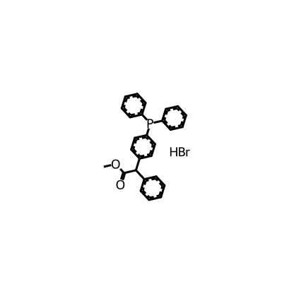 Br.COC(=O)C(c1ccccc1)c1ccc(P(c2ccccc2)c2ccccc2)cc1